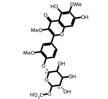 COc1cc(-c2oc3cc(O)c(OC)c(O)c3c(=O)c2OC)ccc1O[C@H]1OC(OC(=O)O)[C@@H](O)C(O)C1O